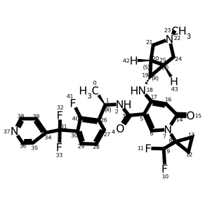 C[C@@H](NC(=O)c1cn(C2(C(F)F)CC2)c(=O)cc1N[C@@H]1[C@@H]2CN(C)C[C@@H]21)c1cccc(C(F)(F)c2ccncc2)c1F